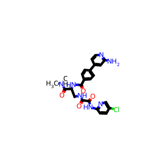 CN(C)C(=O)C(CNC(=O)C(=O)Nc1ccc(Cl)cn1)NC(=O)c1ccc(-c2ccnc(N)c2)cc1